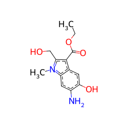 CCOC(=O)c1c(CO)n(C)c2cc(N)c(O)cc12